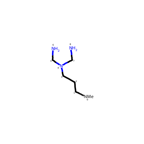 CNCCCN(CN)CN